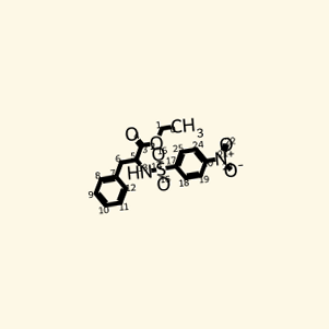 CCOC(=O)C(Cc1ccccc1)NS(=O)(=O)c1ccc([N+](=O)[O-])cc1